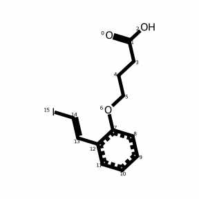 O=C(O)CCCOc1ccccc1/C=C/I